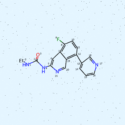 CCNC(=O)Nc1cc2c(F)ccc(-c3cccnc3)c2cn1